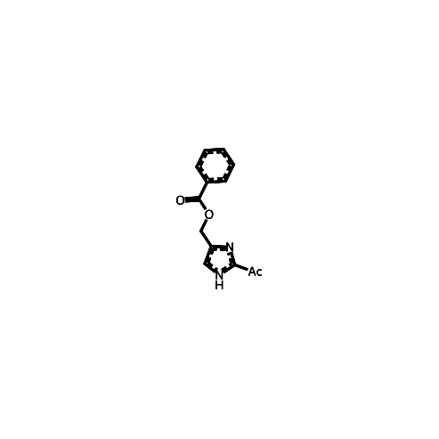 CC(=O)c1nc(COC(=O)c2ccccc2)c[nH]1